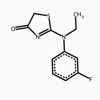 CCN(C1=NC(=O)CS1)c1cccc(F)c1